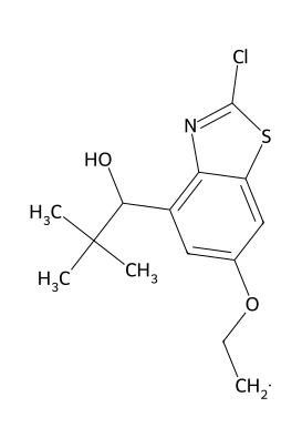 [CH2]COc1cc(C(O)C(C)(C)C)c2nc(Cl)sc2c1